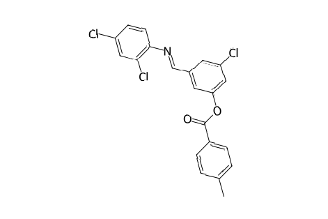 Cc1ccc(C(=O)Oc2cc(Cl)cc(C=Nc3ccc(Cl)cc3Cl)c2)cc1